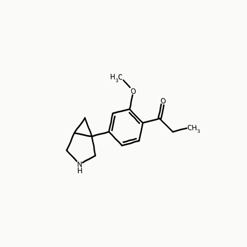 CCC(=O)c1ccc(C23CNCC2C3)cc1OC